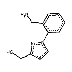 NCc1ccccc1-n1ccc(CO)n1